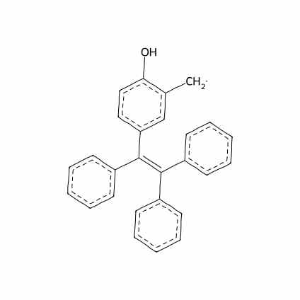 [CH2]c1cc(C(=C(c2ccccc2)c2ccccc2)c2ccccc2)ccc1O